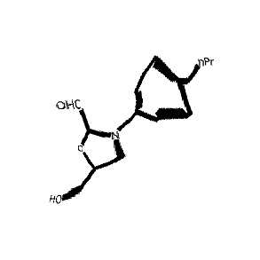 CCCc1ccc(N2CC(CO)OC2C=O)cc1